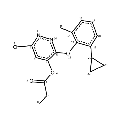 CCC(=O)Oc1cc(Cl)nnc1Oc1c(C)cccc1C1CC1